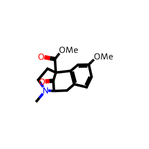 COC(=O)C12CCN(C)C(Cc3ccc(OC)cc31)C2=O